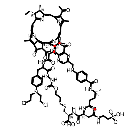 CC[C@H]1c2cc3[nH]c4c(c3C)C(=O)C(C(=O)OC)c4c3nc(cc4[nH]c(cc(n2)[C@@H]1C)c(C(C)=O)c4C)[C@@H](C)[C@@H]3CCC(=O)NC(Cc1ccc(N(CCCl)CCCl)cc1)C(=O)NNC(=O)OCCSSC[C@H](NC(=O)[C@H](CC(=O)NCCS(=O)(=O)O)NC(=O)CC[C@@H](C)NC(=O)c1ccc(NCc2cnc3nc(N)[nH]c(=O)c3n2)cc1)C(=O)O